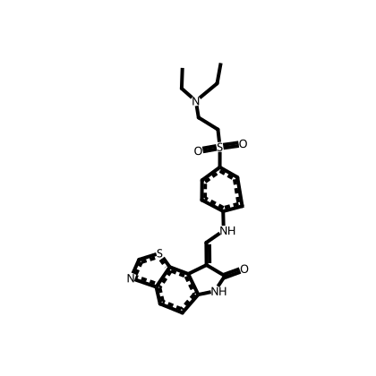 CCN(CC)CCS(=O)(=O)c1ccc(NC=C2C(=O)Nc3ccc4ncsc4c32)cc1